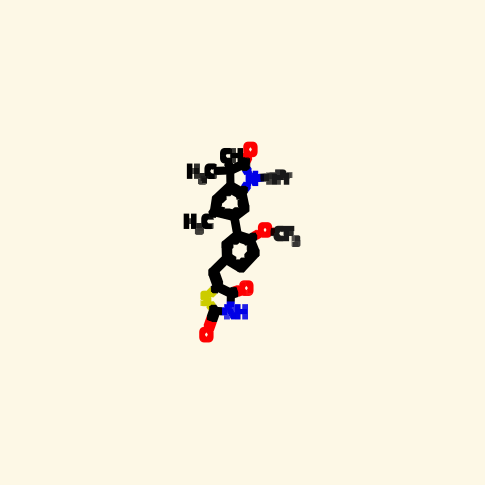 CCCN1C(=O)C(C)(C)c2cc(C)c(-c3cc(/C=C4/SC(=O)NC4=O)ccc3OC(F)(F)F)cc21